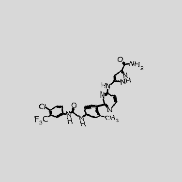 Cc1cc(NC(=O)Nc2ccc(Cl)c(C(F)(F)F)c2)ccc1-c1nccc(Nc2cc(C(N)=O)n[nH]2)n1